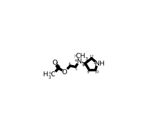 CC(=O)OCCN(C)[C@H]1CCNC1